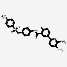 Cc1ccc(S(=O)(=O)Cc2ccc(NC(=O)c3cc(-c4ccc(N)c(N)n4)ccc3F)cc2)cc1